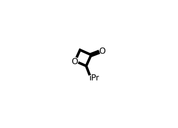 CC(C)C1OCC1=O